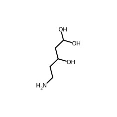 NCCC(O)CC(O)O